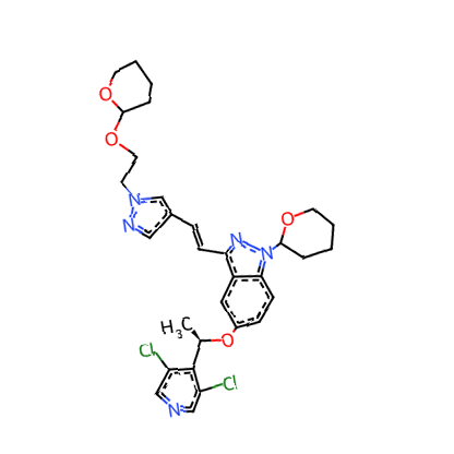 C[C@@H](Oc1ccc2c(c1)c(C=Cc1cnn(CCOC3CCCCO3)c1)nn2C1CCCCO1)c1c(Cl)cncc1Cl